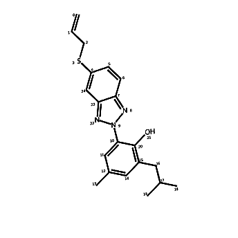 C=CCSc1ccc2nn(-c3cc(C)cc(CC(C)C)c3O)nc2c1